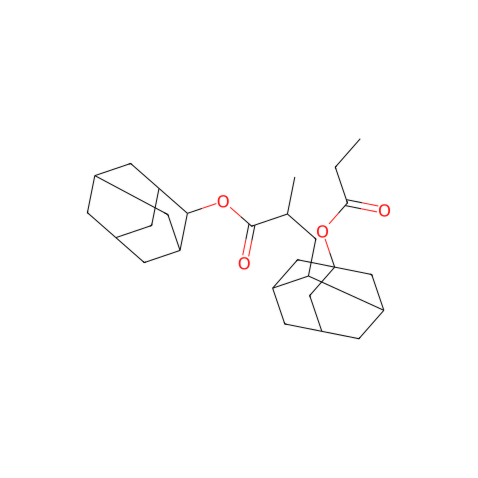 CCC(=O)OC12CC3CC(C1)C(CC(C)C(=O)OC1C4CC5CC(C4)CC1C5)C(C3)C2